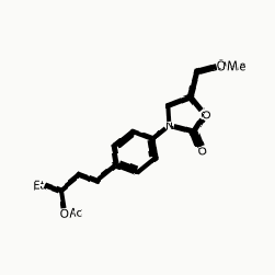 CCC(CCc1ccc(N2CC(COC)OC2=O)cc1)OC(C)=O